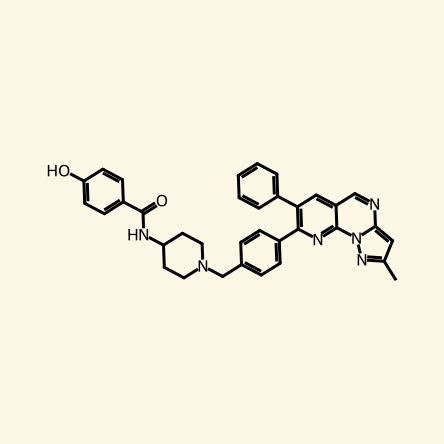 Cc1cc2ncc3cc(-c4ccccc4)c(-c4ccc(CN5CCC(NC(=O)c6ccc(O)cc6)CC5)cc4)nc3n2n1